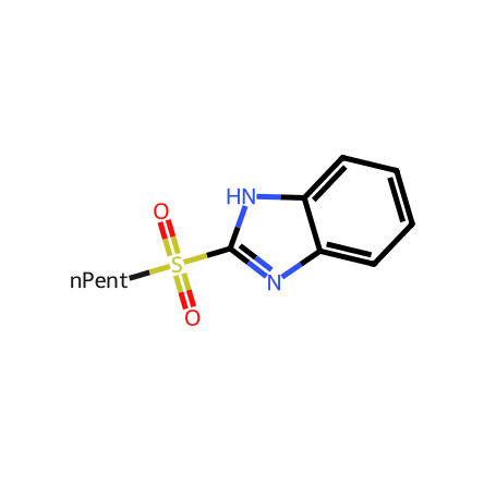 CCCCCS(=O)(=O)c1nc2ccccc2[nH]1